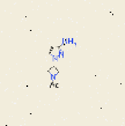 CC(=O)N1CC(n2ccc(N)n2)C1